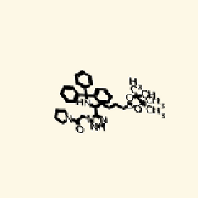 CC1(C)OB(CCCCC(NC(c2ccccc2)(c2ccccc2)c2ccccc2)c2nnnn2CC(=O)N2CCCC2)OC1(C)C